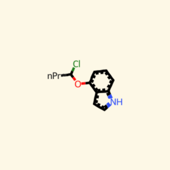 CCCC(Cl)Oc1cccc2[nH]ccc12